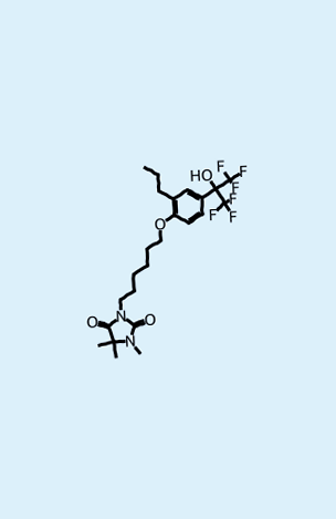 CCCc1cc(C(O)(C(F)(F)F)C(F)(F)F)ccc1OCCCCCCN1C(=O)N(C)C(C)(C)C1=O